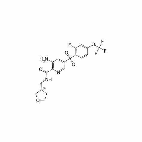 Nc1cc(S(=O)(=O)c2ccc(OC(F)(F)F)cc2F)cnc1C(=O)NC[C@H]1CCOC1